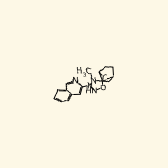 CN1N(c2cc3ccccc3cn2)NOC12CC1CCC2CC1